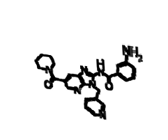 Nc1cccc(C(=O)Nc2nc3cc(C(=O)N4CCCCC4)cnc3n2Cc2cccnc2)c1